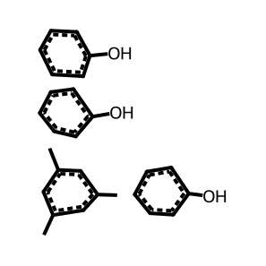 Cc1cc(C)cc(C)c1.Oc1ccccc1.Oc1ccccc1.Oc1ccccc1